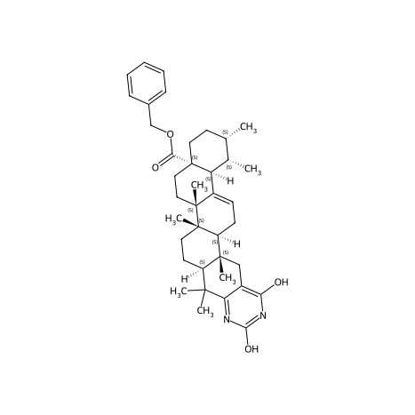 C[C@@H]1[C@H]2C3=CC[C@H]4[C@]5(C)Cc6c(O)nc(O)nc6C(C)(C)[C@H]5CC[C@]4(C)[C@]3(C)CC[C@@]2(C(=O)OCc2ccccc2)CC[C@@H]1C